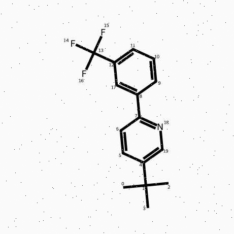 CC(C)(C)c1ccc(-c2cccc(C(F)(F)F)c2)nc1